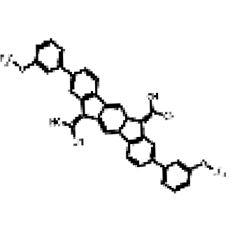 N#CC(C#N)=C1C2=CC3c4ccc(-c5cccc(OC(F)(F)F)c5)cc4C(=C(C#N)C#N)C3C=C2c2ccc(-c3cccc(OC(F)(F)F)c3)cc21